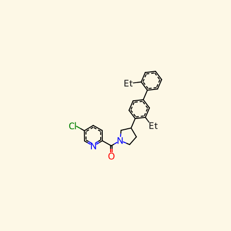 CCc1ccccc1-c1ccc(C2CCN(C(=O)c3ccc(Cl)cn3)C2)c(CC)c1